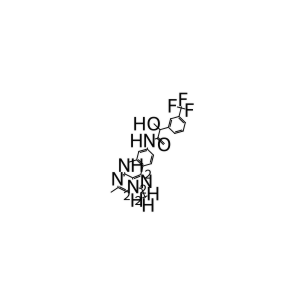 [2H]C([2H])([2H])c1nc(-c2ccc(NC(=O)C(O)c3cccc(C(F)(F)F)c3)cc2C)c2c(N)nc(C)cn12